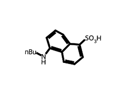 CCCCNc1cccc2c(S(=O)(=O)O)cccc12